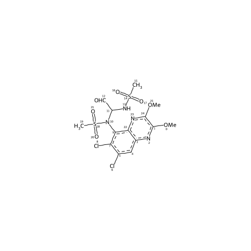 COc1nc2cc(Cl)c(Cl)c(N(C(C=O)NS(C)(=O)=O)S(C)(=O)=O)c2nc1OC